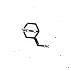 CC(=O)C=C1CN2CCC1CC2